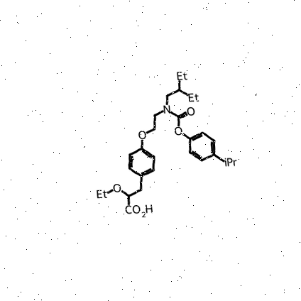 CCOC(Cc1ccc(OCCN(CC(CC)CC)C(=O)Oc2ccc(C(C)C)cc2)cc1)C(=O)O